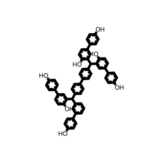 Oc1ccc(-c2cccc(C(c3ccc(-c4ccc(C(c5cc(-c6ccc(O)cc6)ccc5O)c5cc(-c6ccc(O)cc6)ccc5O)cc4)cc3)c3cc(-c4ccc(O)cc4)ccc3O)c2)cc1